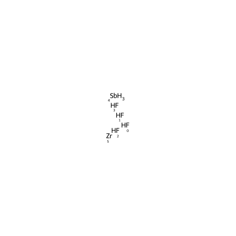 F.F.F.F.[SbH3].[Zr]